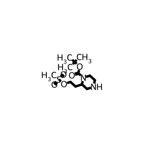 CC(C)(C)OC(=O)N1CCNCC1CCOS(C)(=O)=O